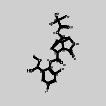 COC(O)c1cc(I)cc(I)c1OC(=O)C1C2CC3C(OC(=O)C31)C2OC(=O)C(F)(F)F